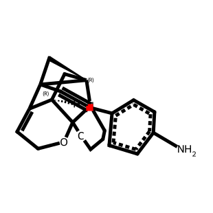 Nc1ccc(C#CC23C[C@]24C[C@@H]2C3=CCOC23CCCCN34)cc1